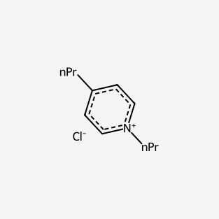 CCCc1cc[n+](CCC)cc1.[Cl-]